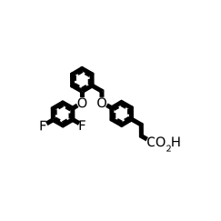 O=C(O)CCc1ccc(OCc2ccccc2Oc2ccc(F)cc2F)cc1